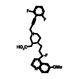 COc1ccc2nccc([C@@H](F)CC[C@@H]3CCN(CC#Cc4c(F)cccc4F)C[C@@H]3CC(=O)O)c2c1